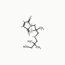 CC(=O)OCC(C)(C)COCC(C)(C)CN1C(=O)C=CC1=O